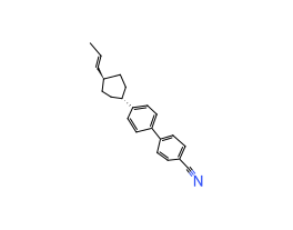 CC=C[C@H]1CC[C@H](c2ccc(-c3ccc(C#N)cc3)cc2)CC1